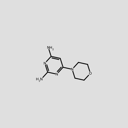 Nc1cc(N2CCOCC2)nc(N)n1